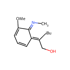 CCC(C)/C(CO)=C1/C=CC=C(OC)/C1=N/C